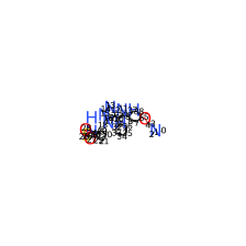 CN(C)CCOc1ccc(-c2[nH]c3ncnc(NC[C@@H]4CCC[C@H]4NS(C)(=O)=O)c3c2-c2ccccc2)cc1